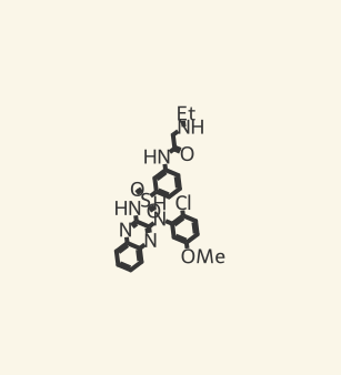 CCNCC(=O)Nc1cccc(S(=O)(=O)Nc2nc3ccccc3nc2Nc2cc(OC)ccc2Cl)c1